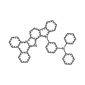 c1ccc(N(c2ccccc2)c2cccc(-n3c4ccccc4c4ccc5c(nc6c7ccccc7c7ccccc7n56)c43)c2)cc1